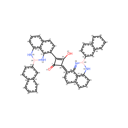 O=C1C(c2ccc3cccc4c3c2NB(c2ccc3ccccc3c2)N4)=C(O)/C1=c1/ccc2cccc3c2c1=NB(c1ccc2ccccc2c1)N3